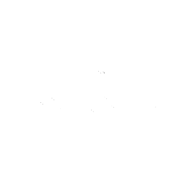 NNC(=O)c1ccc(N/N=C\c2ccccc2S(=O)(=O)O)nc1.[NaH]